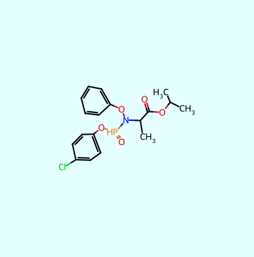 CC(C)OC(=O)C(C)N(Oc1ccccc1)[PH](=O)Oc1ccc(Cl)cc1